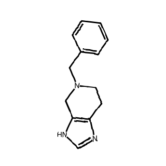 c1ccc(CN2CCc3nc[nH]c3C2)cc1